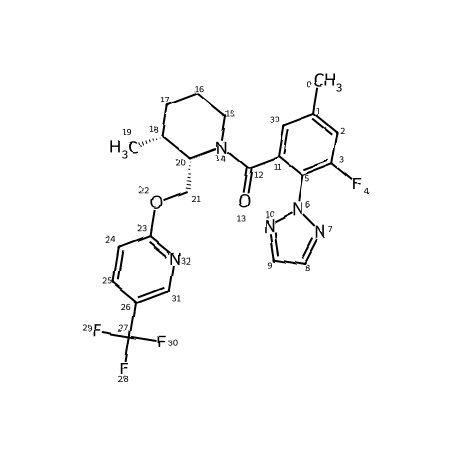 Cc1cc(F)c(-n2nccn2)c(C(=O)N2CCC[C@@H](C)[C@H]2COc2ccc(C(F)(F)F)cn2)c1